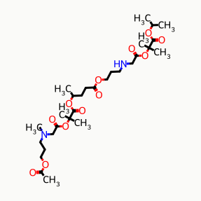 CC(=O)OCCCN(C)CC(=O)OC(C)(C)C(=O)OC(C)CCC(=O)OCCCNCC(=O)OC(C)(C)C(=O)OC(C)C